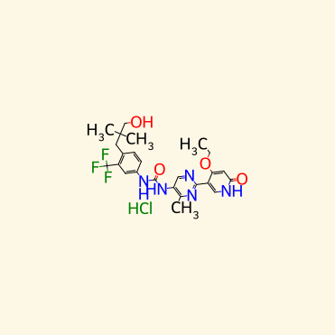 CCOc1cc(=O)[nH]cc1-c1ncc(NC(=O)Nc2ccc(CC(C)(C)CO)c(C(F)(F)F)c2)c(C)n1.Cl